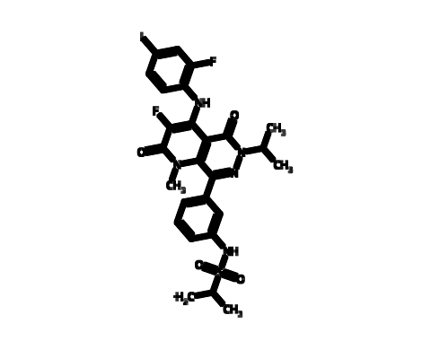 [CH2]C(C)S(=O)(=O)Nc1cccc(-c2nn(C(C)C)c(=O)c3c(Nc4ccc(I)cc4F)c(F)c(=O)n(C)c23)c1